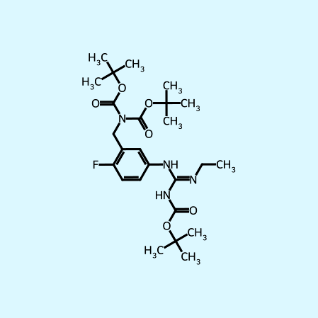 CC/N=C(/NC(=O)OC(C)(C)C)Nc1ccc(F)c(CN(C(=O)OC(C)(C)C)C(=O)OC(C)(C)C)c1